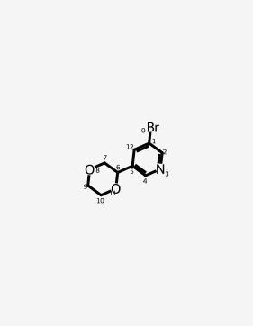 Brc1cncc(C2COCCO2)c1